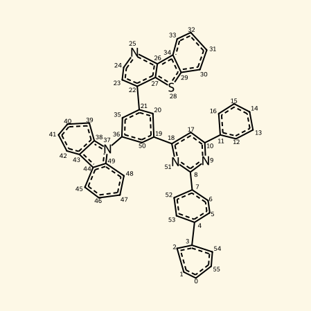 c1ccc(-c2ccc(-c3nc(-c4ccccc4)cc(-c4cc(-c5ccnc6c5sc5ccccc56)cc(-n5c6ccccc6c6ccccc65)c4)n3)cc2)cc1